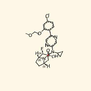 COCOc1cc(Cl)ccc1-c1cnc(N(C2CC2)[C@H]2C[C@@H]3CC[C@H]([C@H]2F)N3C(=O)O)cn1